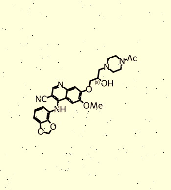 COc1cc2c(Nc3cccc4c3OCO4)c(C#N)cnc2cc1OC[C@H](O)CN1CCN(C(C)=O)CC1